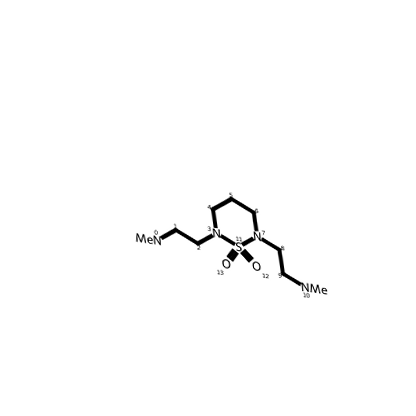 CNCCN1CCCN(CCNC)S1(=O)=O